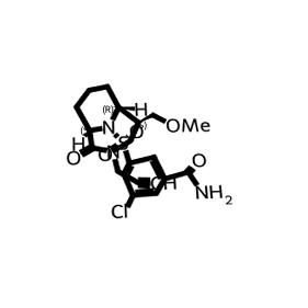 C#CCN1C[C@H](COC)[C@H]2CCC[C@@H](C1=O)N2S(=O)(=O)c1cc(Cl)cc(C(N)=O)c1